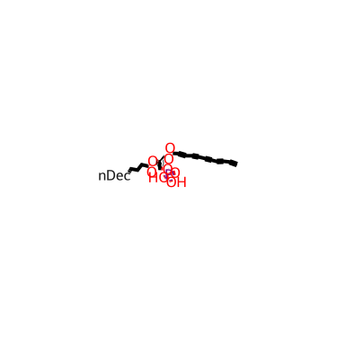 C#CC#CC#CC#CC#CC(=O)OC[C@@H](COP(=O)(O)O)OC(=O)CCCCCCCCCCCCC